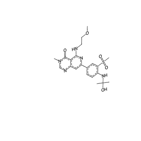 COCCNc1nc(-c2ccc(NC(C)(C)O)c(S(C)(=O)=O)c2)cc2ncn(C)c(=O)c12